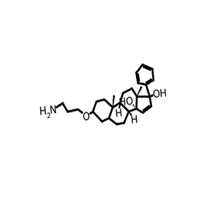 C[C@]12CCC(OCCCN)CC1CC[C@@H]1[C@H]2CC[C@]2(C)C(O)(c3ccccc3)C=C[C@@]12O